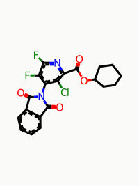 O=C(OC1CCCCC1)c1nc(F)c(F)c(N2C(=O)c3ccccc3C2=O)c1Cl